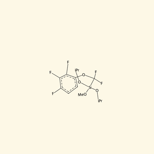 CO[Si](OC(C)C)(OC(C)C)C(F)(F)Oc1ccc(F)c(F)c1F